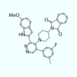 COc1ccc2cc(-c3nncc(-c4cc(C)cc(F)c4)c3N3CCC(N4C(=O)c5ccccc5C4=O)CC3)[nH]c2c1